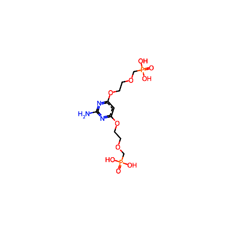 Nc1nc(OCCOCP(=O)(O)O)cc(OCCOCP(=O)(O)O)n1